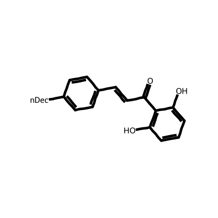 CCCCCCCCCCc1ccc(C=CC(=O)c2c(O)cccc2O)cc1